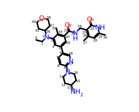 CCN(c1cc(-c2ccc(N3CCC(N)CC3)nc2)cc(C(=O)NCc2c(C)cc(C)[nH]c2=O)c1C)C1CCOCC1